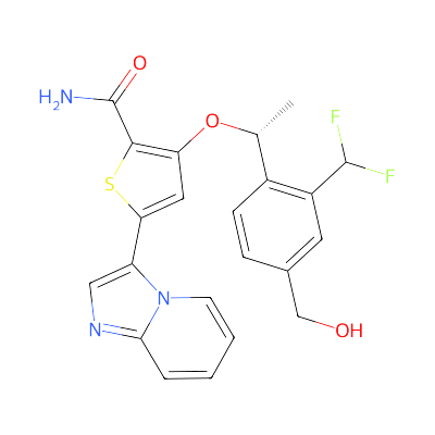 C[C@@H](Oc1cc(-c2cnc3ccccn23)sc1C(N)=O)c1ccc(CO)cc1C(F)F